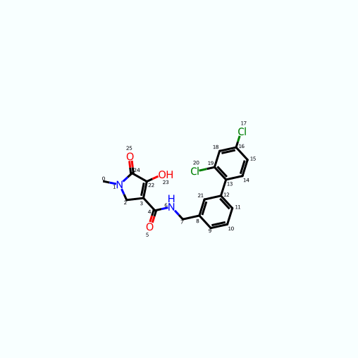 CN1CC(C(=O)NCc2cccc(-c3ccc(Cl)cc3Cl)c2)=C(O)C1=O